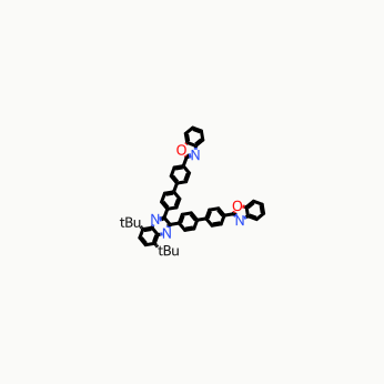 CC(C)(C)c1ccc(C(C)(C)C)c2nc(-c3ccc(-c4ccc(-c5nc6ccccc6o5)cc4)cc3)c(-c3ccc(-c4ccc(-c5nc6ccccc6o5)cc4)cc3)nc12